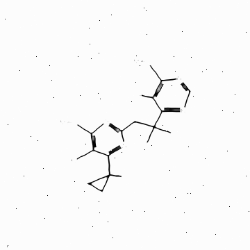 COc1ncnc(C(C)(F)Cc2nc(OC)c(C(C)(C)C)c(C3(C)CC3)n2)c1C(C)(C)C